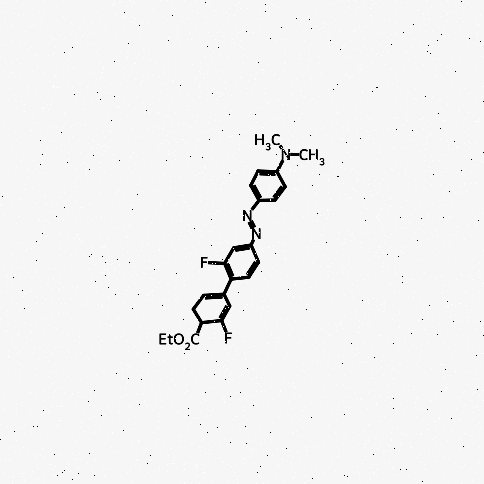 CCOC(=O)C1CC=C(c2ccc(/N=N/c3ccc(N(C)C)cc3)cc2F)C=C1F